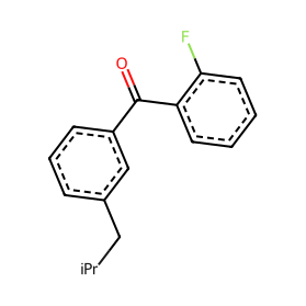 CC(C)Cc1cccc(C(=O)c2ccccc2F)c1